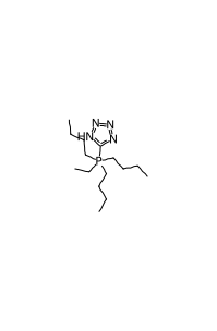 CCCCP(CC)(CCCC)(CCCC)c1nnn[nH]1